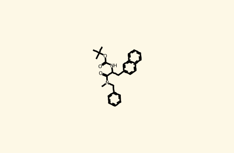 CN(Cc1ccccc1)C(=O)C(Cc1ccc2ccccc2c1)NC(=O)OC(C)(C)C